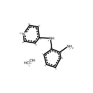 Cl.Cl.Nc1ccccc1Nc1ccncc1